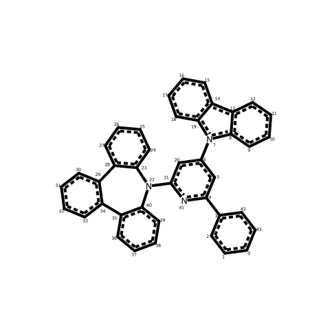 c1ccc(-c2cc(-n3c4ccccc4c4ccccc43)cc(N3c4ccccc4-c4ccccc4-c4ccccc43)n2)cc1